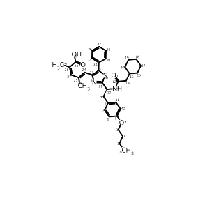 CCCCOc1ccc(C[C@H](NC(=O)CC2CCCCC2)c2nc(/C=C(C)/C=C(/C)C(=O)O)c(-c3ccccc3)s2)cc1